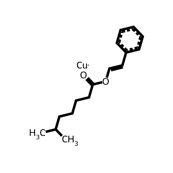 CC(C)CCCCC(=O)OC=Cc1ccccc1.[Cu]